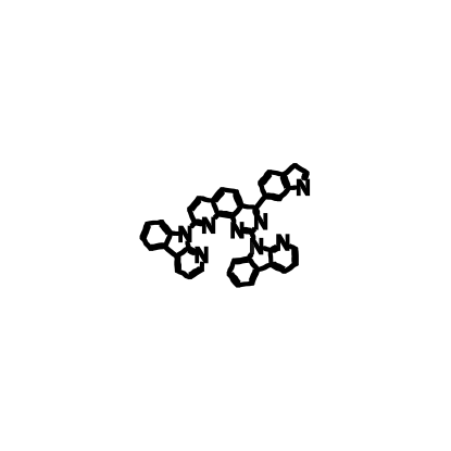 C1=Nc2cc(-c3nc(-n4c5ccccc5c5cccnc54)nc4c3ccc3ccc(-n5c6ccccc6c6cccnc65)nc34)ccc2C1